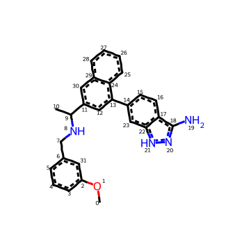 COc1cccc(CNC(C)c2cc(-c3ccc4c(N)n[nH]c4c3)c3ccccc3c2)c1